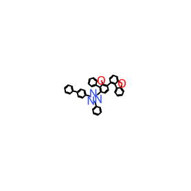 c1ccc(-c2ccc(-c3nc(-c4ccccc4)nc(-c4ccc(-c5cccc6oc7ccccc7c56)c5oc6ccccc6c45)n3)cc2)cc1